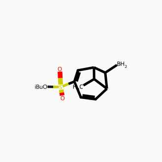 BC1C2C=CC(S(=O)(=O)OCC(C)C)=CC1C2C